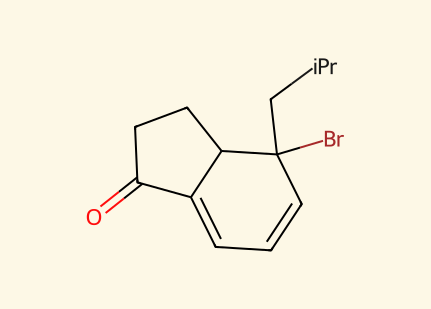 CC(C)CC1(Br)C=CC=C2C(=O)CCC21